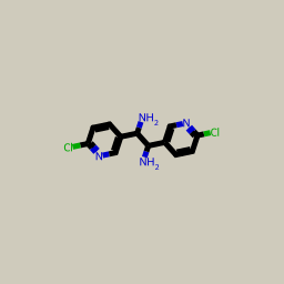 NC(c1ccc(Cl)nc1)C(N)c1ccc(Cl)nc1